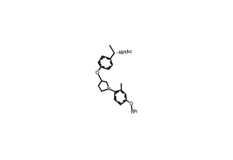 CCCOc1ccc(N2CCC(Oc3ccc([C@H](C)NC(C)=O)cc3)C2)c(C)c1